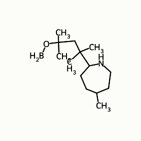 BOC(C)(C)CC(C)(C)C1CCC(C)CCN1